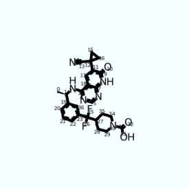 C[C@@H](Nc1ncnc2[nH]c(=O)c(C3(C#N)CC3)cc12)c1cccc(C(F)(F)C2CCN(C(=O)O)CC2)c1